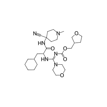 CN1CCC(C#N)(NC(=O)C(CC2CCCCC2)NC(=NC(=O)OCC2CCOC2)N2CCOCC2)CC1